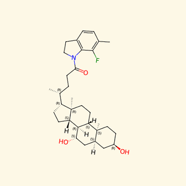 Cc1ccc2c(c1F)N(C(=O)CC[C@@H](C)[C@H]1CC[C@H]3[C@@H]4[C@@H](O)C[C@@H]5C[C@H](O)CC[C@]5(C)[C@H]4CC[C@]13C)CC2